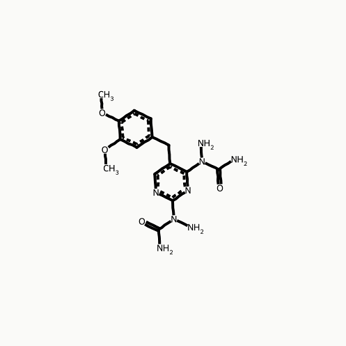 COc1ccc(Cc2cnc(N(N)C(N)=O)nc2N(N)C(N)=O)cc1OC